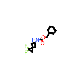 O=C(NC1CC2(C1)CC2(F)F)OCc1ccccc1